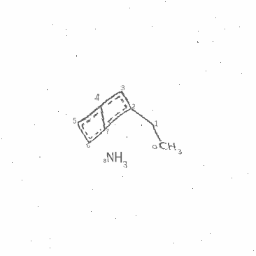 CCc1cc2ccc1-2.N